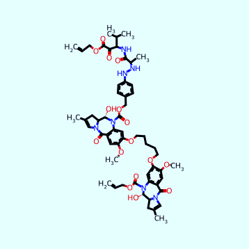 C=CCOC(=O)C(=O)C(NC(=O)C(C)NNc1ccc(COC(=O)N2c3cc(OCCCCCOc4cc5c(cc4OC)C(=O)N4C=C(C)CC4[C@H](O)N5C(=O)OCC=C)c(OC)cc3C(=O)N3C=C(C)CC3[C@@H]2O)cc1)C(C)C